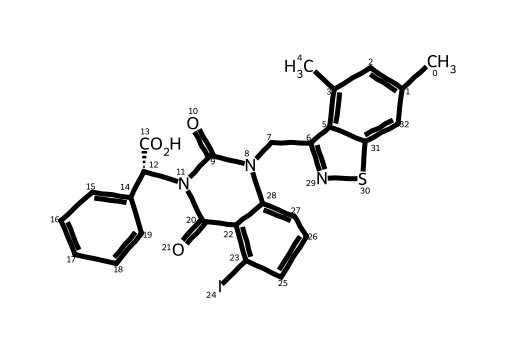 Cc1cc(C)c2c(Cn3c(=O)n([C@@H](C(=O)O)c4ccccc4)c(=O)c4c(I)cccc43)nsc2c1